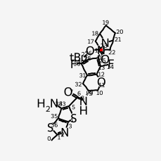 Cc1nc2sc(C(=O)N[C@H]3COc4c(F)c(N5CC6CCC(C5)N6C(=O)OC(C)(C)C)cc(F)c4C3)c(N)c2s1